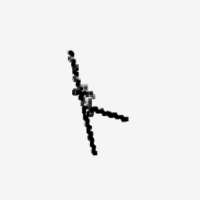 [CH2]COCCOCCOCCNC(=O)[C@@H](N)CSC[C@@H](COCCCCCCCCCCCC)NC(=O)CCCCCCCCCCC